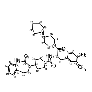 CCc1ccc(C[C@@H](NC(=O)N2CCC(N3CCc4ccccc4NC3=O)CC2)C(=O)N2CCC(N3CCCCC3)CC2)cc1C(F)(F)F